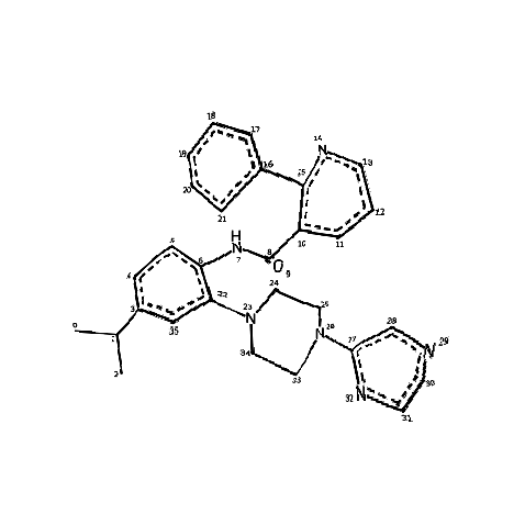 CC(C)c1ccc(NC(=O)c2cccnc2-c2ccccc2)c(N2CCN(c3cnccn3)CC2)c1